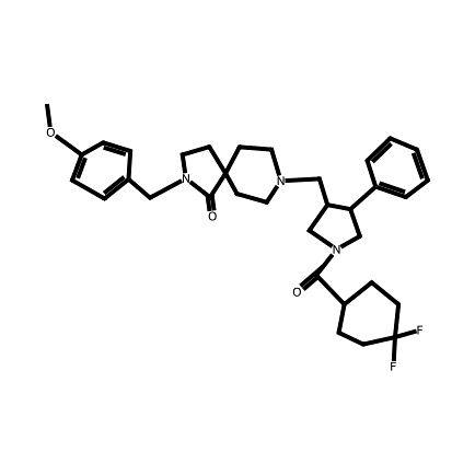 COc1ccc(CN2CCC3(CCN(CC4CN(C(=O)C5CCC(F)(F)CC5)CC4c4ccccc4)CC3)C2=O)cc1